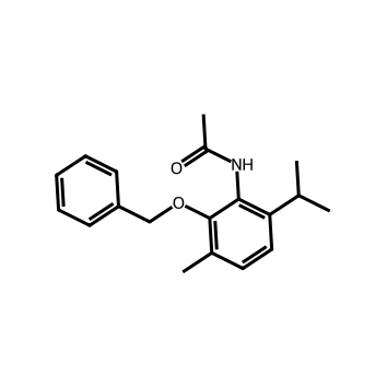 CC(=O)Nc1c(C(C)C)ccc(C)c1OCc1ccccc1